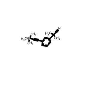 CC(C)(C#N)c1cccc(C#C[Si](C)(C)C)c1